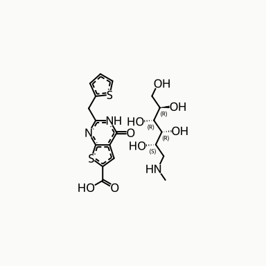 CNC[C@H](O)[C@@H](O)[C@H](O)[C@H](O)CO.O=C(O)c1cc2c(=O)[nH]c(Cc3cccs3)nc2s1